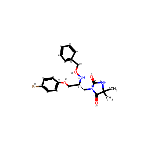 CC1(C)NC(=O)N(C[C@H](COc2ccc(Br)cc2)NOCc2ccccc2)C1=O